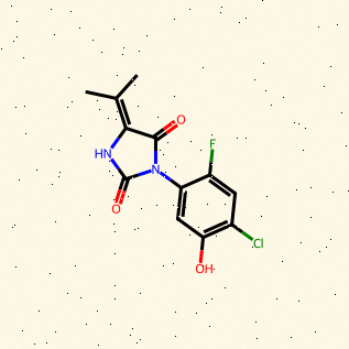 CC(C)=C1NC(=O)N(c2cc(O)c(Cl)cc2F)C1=O